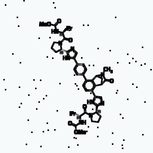 COC(=O)N[C@H](C(=O)N1CCC[C@H]1c1ncc(-c2ccc(-c3ccc(-c4cnc([C@H]5CCCN5C(=O)[C@H](NC(=O)OC)C(C)C)[nH]4)c4c3C3CC4C(=O)N3C)cc2)[nH]1)C(C)C